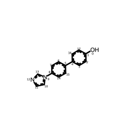 Oc1ccc(-c2ccc(-n3ccnc3)cc2)cc1